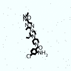 CC[C@H]1CN(c2ncc(-c3nnc(C)o3)nc2C)CCN1C1CCN(C(=O)c2ccc(Cl)cc2N)CC1